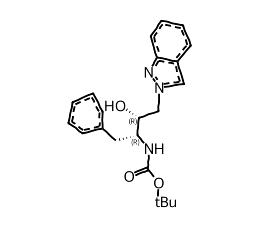 CC(C)(C)OC(=O)N[C@H](Cc1ccccc1)[C@H](O)Cn1cc2ccccc2n1